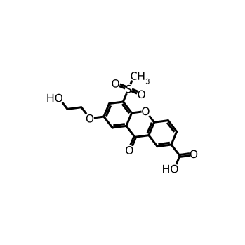 CS(=O)(=O)c1cc(OCCO)cc2c(=O)c3cc(C(=O)O)ccc3oc12